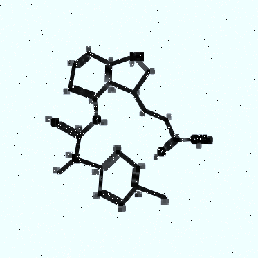 COC(=O)CCC1CNc2cccc(OC(=O)N(C)c3ccc(C)cc3)c21